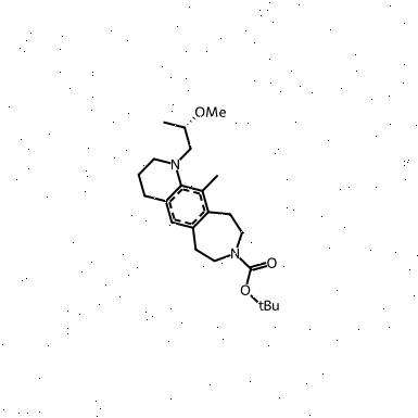 CO[C@@H](C)CN1CCCc2cc3c(c(C)c21)CCN(C(=O)OC(C)(C)C)CC3